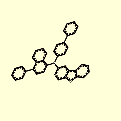 c1ccc(-c2ccc(N(c3cc4c(cn3)oc3ccccc34)c3ccc(-c4ccccc4)c4ccccc34)cc2)cc1